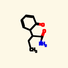 CCC(C(N)=O)C1C=CC=CC1=O